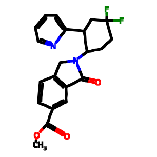 COC(=O)c1ccc2c(c1)C(=O)N(C1CCC(F)(F)CC1c1ccccn1)C2